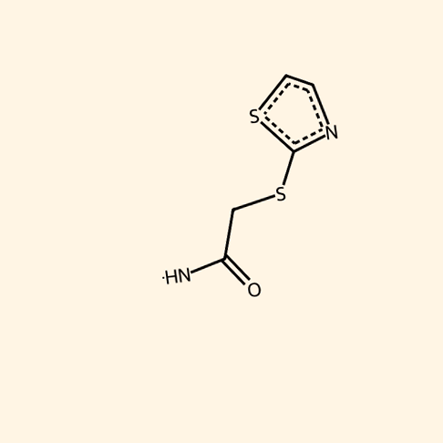 [NH]C(=O)CSc1nccs1